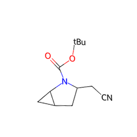 CC(C)(C)OC(=O)N1C(CC#N)CC2CC21